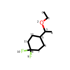 CCOC(C)C1CCC(F)(F)CC1